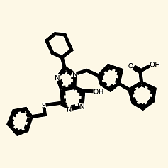 O=C(O)c1ccccc1-c1ccc(Cn2c(C3CCCCC3)nc3c(SCc4ccccc4)nnc(O)c32)cc1